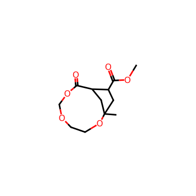 COC(=O)C1CC2(C)CC1C(=O)OCOCCO2